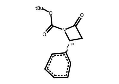 CC(C)(C)OC(=O)N1C(=O)C[C@@H]1c1ccccc1